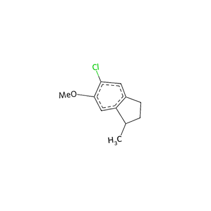 COc1cc2c(cc1Cl)CCC2C